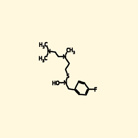 CN(C)CCN(C)CCSN(O)Cc1ccc(F)cc1